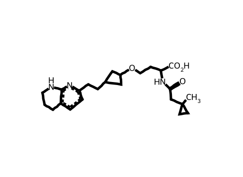 CC1(CC(=O)NC(CCOC2CC(CCc3ccc4c(n3)NCCC4)C2)C(=O)O)CC1